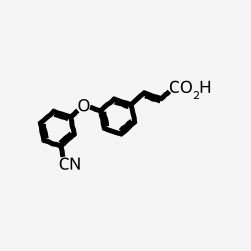 N#Cc1cccc(Oc2cccc(C=CC(=O)O)c2)c1